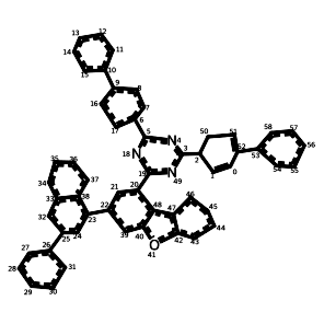 C1=CC(c2nc(-c3ccc(-c4ccccc4)cc3)nc(-c3cc(-c4cc(-c5ccccc5)cc5ccccc45)cc4oc5ccccc5c34)n2)CC=C1c1ccccc1